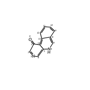 O=c1cncc2[nH]cc3ccccc3c1-2